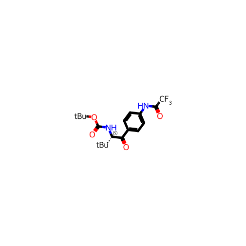 CC(C)(C)OC(=O)N[C@H](C(=O)c1ccc(NC(=O)C(F)(F)F)cc1)C(C)(C)C